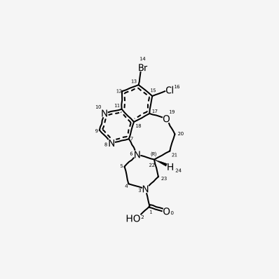 O=C(O)N1CCN2c3ncnc4cc(Br)c(Cl)c(c34)OCC[C@@H]2C1